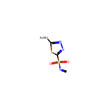 C=NS(=O)(=O)c1nnc(NC(C)=O)s1